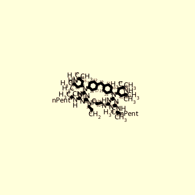 C=CCNc1nc(NC(C)(C)CCCCC)nc(N(C2CCC(CC3CCC(N(c4nc(NCC=C)nc(NC(C)(C)CCCCC)n4)C4CC(C)(C)NC(C)(C)C4)CC3)CC2)C2CC(C)(C)NC(C)(C)C2)n1